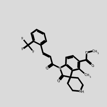 COC(=O)c1ccc2c(c1C)C1(CCNCC1)C(=O)N2C(=O)/C=C/c1ccccc1C(F)(F)F